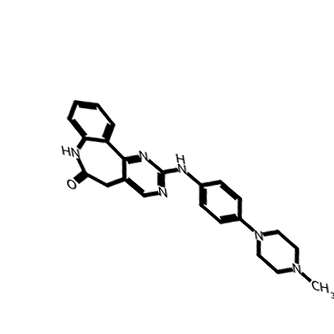 CN1CCN(c2ccc(Nc3ncc4c(n3)-c3ccccc3NC(=O)C4)cc2)CC1